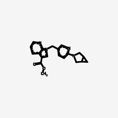 COC(=O)c1cn(Cc2ccc(N3CC4CC4C3)nc2)c2ncccc12